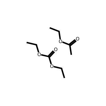 CCOC(=O)OCC.CCOC(C)=O